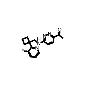 CC(=O)c1ccc(NCC2(c3ncccc3F)CCC2)nn1